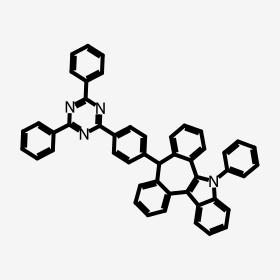 c1ccc(-c2nc(-c3ccccc3)nc(-c3ccc(C4c5ccccc5-c5c(n(-c6ccccc6)c6ccccc56)-c5ccccc54)cc3)n2)cc1